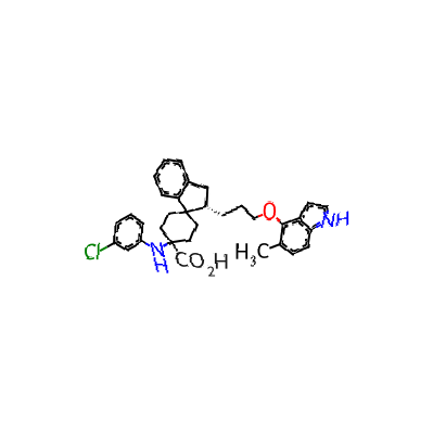 Cc1ccc2[nH]ccc2c1OCCC[C@H]1Cc2ccccc2C12CCC(Nc1cccc(Cl)c1)(C(=O)O)CC2